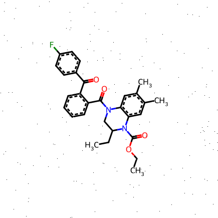 CCOC(=O)N1c2cc(C)c(C)cc2N(C(=O)c2ccccc2C(=O)c2ccc(F)cc2)CC1CC